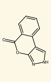 O=c1oc2n[nH]cc2c2ccccc12